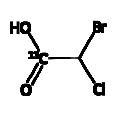 O=[13C](O)C(Cl)Br